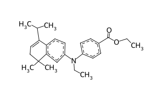 CCOC(=O)c1ccc(N(CC)c2ccc3c(c2)C(C)(C)CC=C3C(C)C)cc1